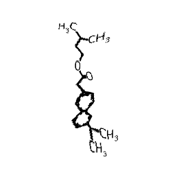 CC(C)CCOC(=O)Cc1ccc2cc(C(C)C)ccc2c1